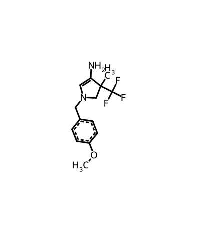 COc1ccc(CN2C=C(N)C(C)(C(F)(F)F)C2)cc1